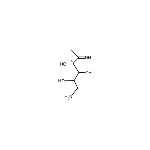 CC(=N)[C@@H](O)C(O)C(O)CN